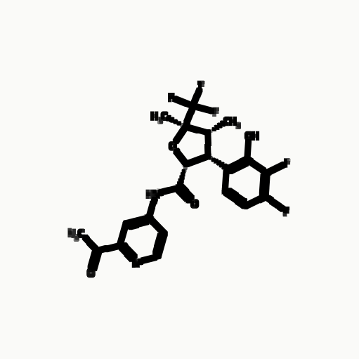 CC(=O)c1cc(NC(=O)[C@@H]2O[C@@](C)(C(F)(F)F)[C@H](C)[C@@H]2c2ccc(F)c(F)c2O)ccn1